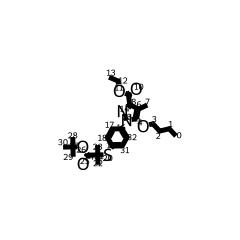 CCCCOc1c(C)c(C(=O)OCC)nn1-c1ccc(SC(C)(C)C(=O)OC(C)(C)C)cc1